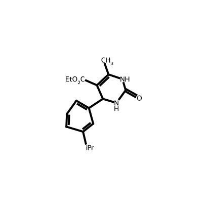 CCOC(=O)C1=C(C)NC(=O)NC1c1cccc(C(C)C)c1